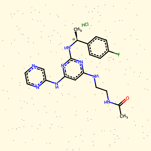 CC(=O)NCCNc1cc(Nc2cnccn2)nc(N[C@@H](C)c2ccc(F)cc2)n1.Cl